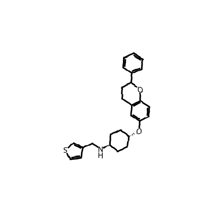 c1ccc(C2CCc3cc(O[C@H]4CC[C@H](NCc5ccsc5)CC4)ccc3O2)cc1